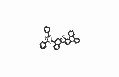 c1ccc(-c2nc(-c3ccccc3)nc(-c3cc4sc5c(ccc6c7ccccc7c7ccccc7c65)c4c4ccccc34)n2)cc1